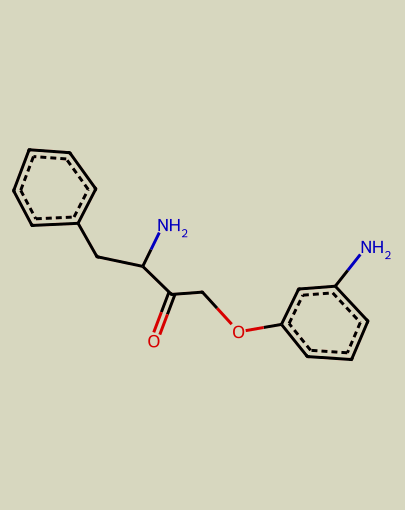 Nc1cccc(OCC(=O)C(N)Cc2ccccc2)c1